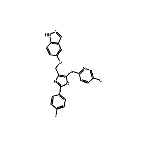 Fc1ccc(-c2nc(COc3ccc4[nH]ncc4c3)c(Sc3ccc(Cl)cn3)o2)cc1